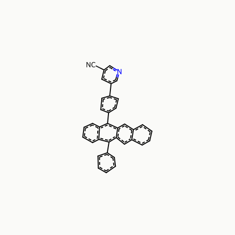 N#Cc1cncc(-c2ccc(-c3c4ccccc4c(-c4ccccc4)c4cc5ccccc5cc34)cc2)c1